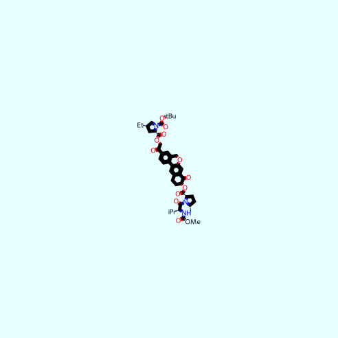 CC[C@H]1C[C@@H](C(=O)OCC(=O)c2ccc3c(c2)COc2cc4c(cc2-3)CCC(OC(=O)[C@@H]2CC[C@H](C)N2C(=O)[C@H](NC(=O)OC)C(C)C)C4=O)N(C(=O)OC(C)(C)C)C1